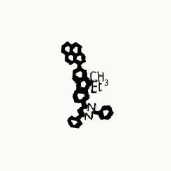 CCC1(C)c2cc(-c3cc(-c4ccccc4)nc(-c4ccccc4)n3)ccc2-c2ccc(-c3ccc4ccc5cccc6ccc3c4c56)cc21